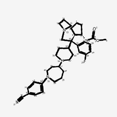 COC(=O)N[C@H]1CCC[C@@H]1C(CN1CCC1)(c1cccc(F)c1)C1CCN(C2CCCN(c3ccc(C#N)cc3)CC2)CC1